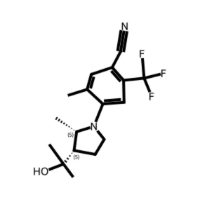 Cc1cc(C#N)c(C(F)(F)F)cc1N1CC[C@H](C(C)(C)O)[C@@H]1C